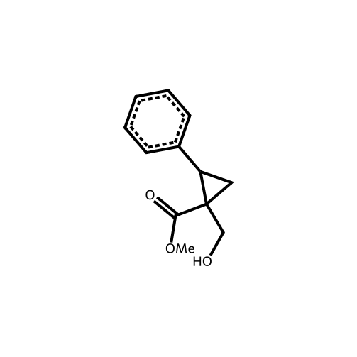 COC(=O)C1(CO)CC1c1ccccc1